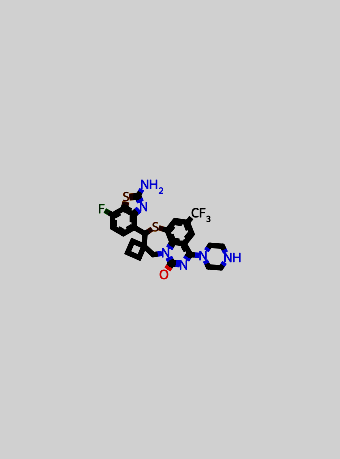 Nc1nc2c(C3Sc4cc(C(F)(F)F)cc5c(N6CCNCC6)nc(=O)n(c45)CC34CCC4)ccc(F)c2s1